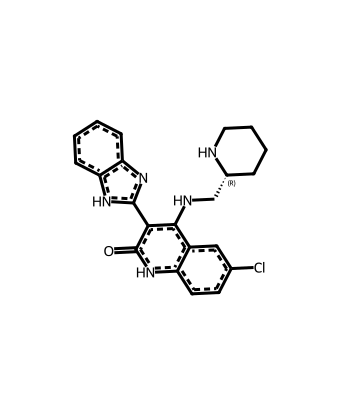 O=c1[nH]c2ccc(Cl)cc2c(NC[C@H]2CCCCN2)c1-c1nc2ccccc2[nH]1